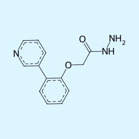 NNC(=O)COc1ccccc1-c1cccnc1